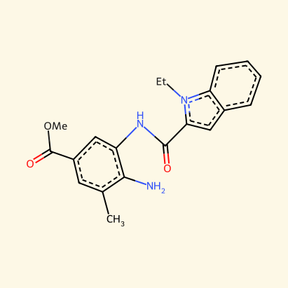 CCn1c(C(=O)Nc2cc(C(=O)OC)cc(C)c2N)cc2ccccc21